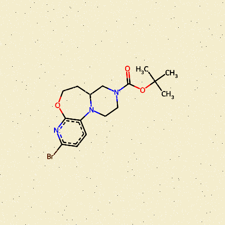 CC(C)(C)OC(=O)N1CCN2c3ccc(Br)nc3OCCC2C1